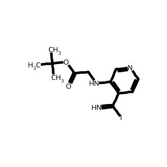 CC(C)(C)OC(=O)CNc1cnccc1C(=N)I